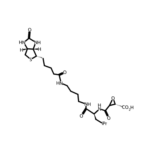 CC(C)C[C@H](NC(=O)C1O[C@@H]1C(=O)O)C(=O)NCCCCNC(=O)CCCC[C@@H]1SC[C@@H]2NC(=O)N[C@@H]21